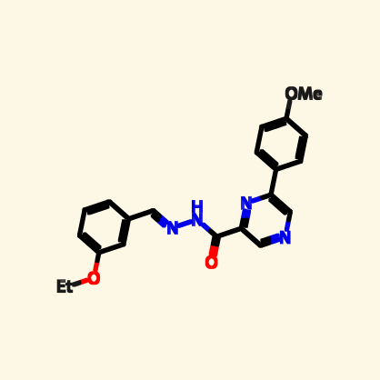 CCOc1cccc(C=NNC(=O)c2cncc(-c3ccc(OC)cc3)n2)c1